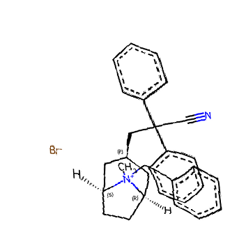 C[N+]1(Cc2ccccc2)[C@@H]2CC[C@H]1C[C@@H](CC(C#N)(c1ccccc1)c1ccccc1)C2.[Br-]